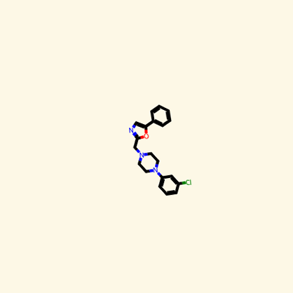 Clc1cccc(N2CCN(Cc3ncc(-c4ccccc4)o3)CC2)c1